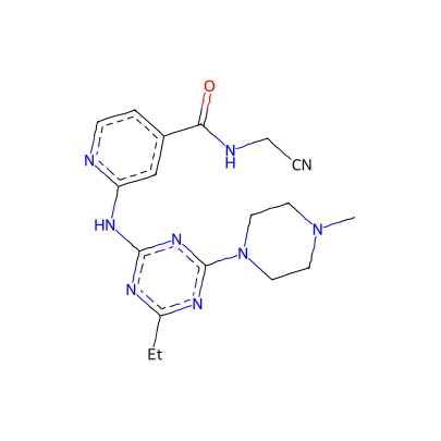 CCc1nc(Nc2cc(C(=O)NCC#N)ccn2)nc(N2CCN(C)CC2)n1